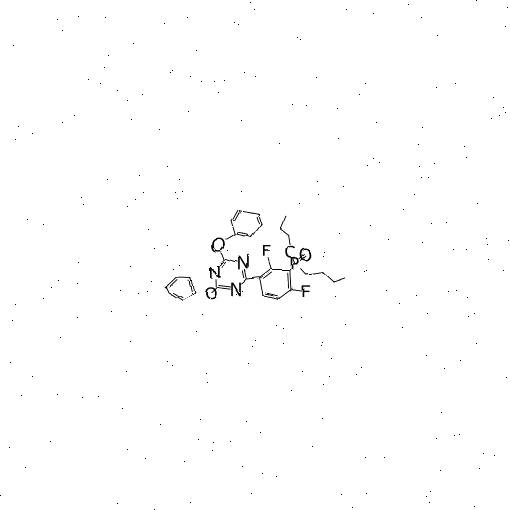 CCCCP(=O)(CCCC)c1c(F)ccc(-c2nc(Oc3ccccc3)nc(Oc3ccccc3)n2)c1F